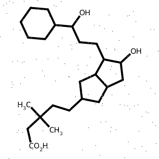 CC(C)(CCC1CC2CC(O)C(CCC(O)C3CCCCC3)C2C1)CC(=O)O